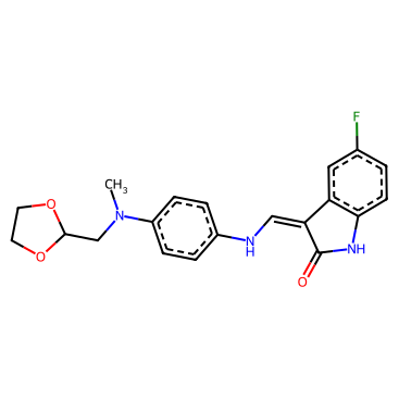 CN(CC1OCCO1)c1ccc(NC=C2C(=O)Nc3ccc(F)cc32)cc1